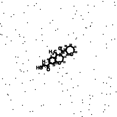 CC1c2ccc(C(=O)NO)cc2OCCN1C(=O)C1CCCCOC1